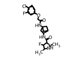 CC1NN(C)C(C(=O)NC2CC3(NC(=O)COc4ccc(Cl)c(F)c4)CC2C3)C1F